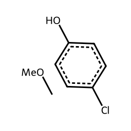 COC.Oc1ccc(Cl)cc1